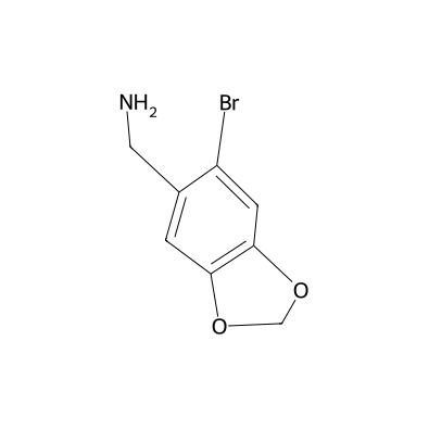 NCc1cc2c(cc1Br)OCO2